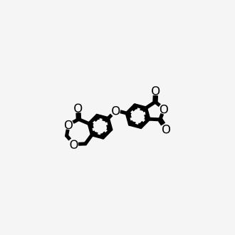 O=C1OCOCc2ccc(Oc3ccc4c(c3)C(=O)OC4=O)cc21